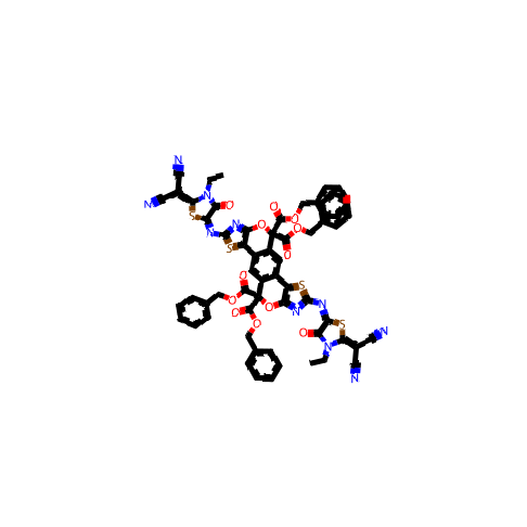 CCN1C(=O)/C(=N\c2nc3c(s2)-c2cc4c(cc2C(C(=O)OCc2ccccc2)(C(=O)OCc2ccccc2)O3)-c2sc(/N=C3/SC(=C(C#N)C#N)N(CC)C3=O)nc2OC4(C(=O)OCc2ccccc2)C(=O)OCc2ccccc2)SC1=C(C#N)C#N